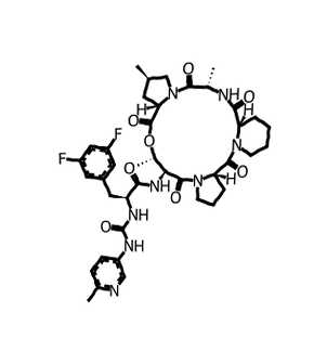 Cc1ccc(NC(=O)N[C@@H](Cc2cc(F)cc(F)c2)C(=O)N[C@@H]2C(=O)N3CCC[C@H]3C(=O)N3CCCC[C@H]3C(=O)N[C@@H](C)C(=O)N3C[C@H](C)C[C@H]3C(=O)O[C@H]2C)cn1